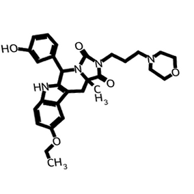 CCOc1ccc2[nH]c3c(c2c1)CC1(C)C(=O)N(CCCN2CCOCC2)C(=O)N1C3c1cccc(O)c1